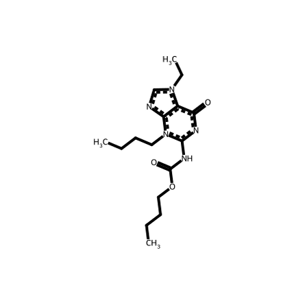 CCCCOC(=O)Nc1nc(=O)c2c(ncn2CC)n1CCCC